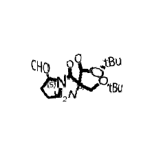 CC(C)(C)OC[C@@](N)(C(=O)OC(C)(C)C)C(=O)[N+]1CCC[C@H]1C=O